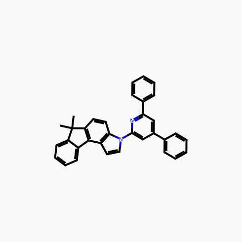 CC1(C)c2ccccc2-c2c1ccc1c2ccn1-c1cc(-c2ccccc2)cc(-c2ccccc2)n1